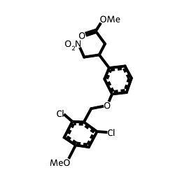 COC(=O)CC(C[N+](=O)[O-])c1cccc(OCc2c(Cl)cc(OC)cc2Cl)c1